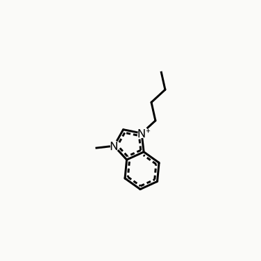 CCCC[n+]1cn(C)c2ccccc21